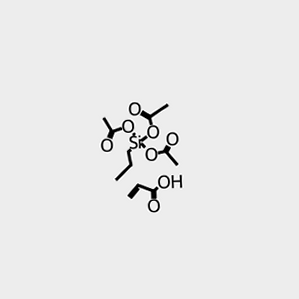 C=CC(=O)O.CCC[Si](OC(C)=O)(OC(C)=O)OC(C)=O